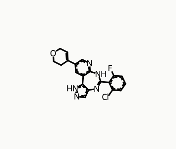 Fc1cccc(Cl)c1C1=Nc2cn[nH]c2-c2cc(C3=CCOCC3)cnc2N1